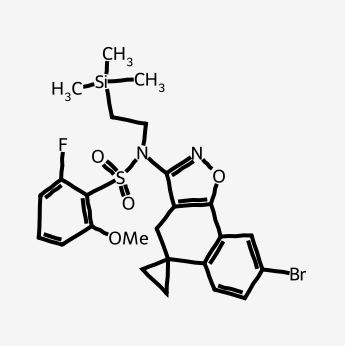 COc1cccc(F)c1S(=O)(=O)N(CC[Si](C)(C)C)c1noc2c1CC1(CC1)c1ccc(Br)cc1-2